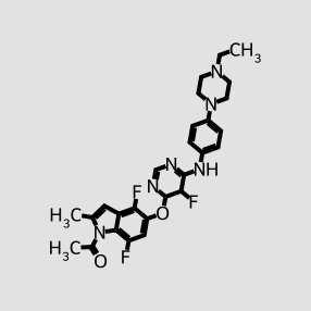 CCN1CCN(c2ccc(NC3=NC=NC(Oc4cc(F)c5c(cc(C)n5C(C)=O)c4F)C3F)cc2)CC1